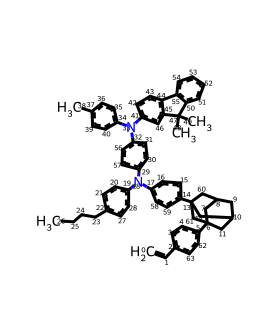 C=Cc1ccc(C23CC4CC(C2)CC(c2ccc(N(c5ccc(CCCC)cc5)c5ccc(N(c6ccc(C)cc6)c6ccc7c(c6)C(C)(C)c6ccccc6-7)cc5)cc2)(C4)C3)cc1